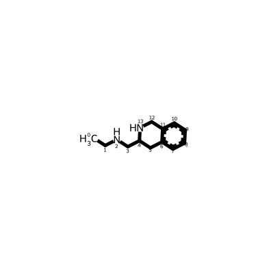 CCNCC1Cc2ccccc2CN1